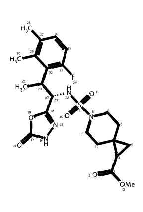 COC(=O)C1CC12CCN(S(=O)(=O)N[C@H](c1n[nH]c(=O)o1)C(C)c1c(F)ccc(C)c1C)CC2